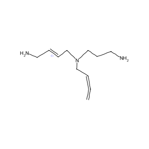 C=C=CCN(C/C=C/CN)CCCN